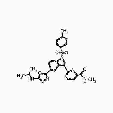 CNC(=O)c1ccnc(-c2cn(S(=O)(=O)c3ccc(C)cc3)c3ccc(-c4nnc(NC(C)C)o4)cc23)n1